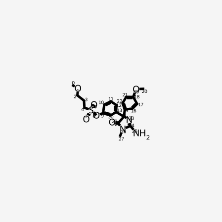 COCCCS(=O)(=O)Oc1cccc(C2(c3ccc(OC)cc3)N=C(N)N(C)C2=O)c1